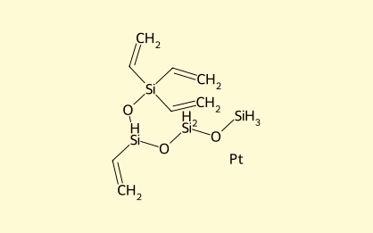 C=C[SiH](O[SiH2]O[SiH3])O[Si](C=C)(C=C)C=C.[Pt]